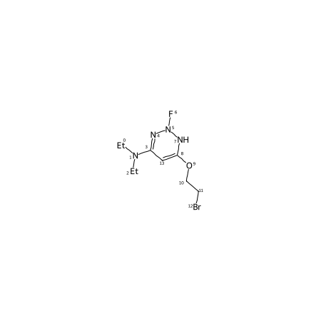 CCN(CC)C1=NN(F)NC(OCCBr)=C1